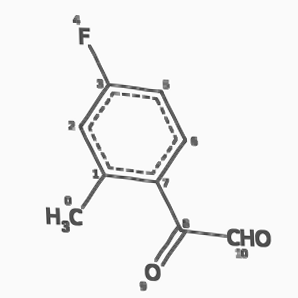 Cc1cc(F)ccc1C(=O)C=O